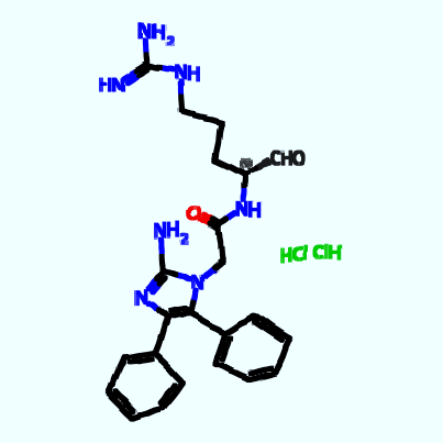 Cl.Cl.N=C(N)NCCC[C@@H](C=O)NC(=O)Cn1c(N)nc(-c2ccccc2)c1-c1ccccc1